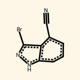 N#Cc1cccc2[nH]nc(Br)c12